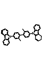 Cc1cc(-n2c3c(c4ccccc42)CCC=C3)ccc1-c1ccc(-n2c3ccc#cc3c3ccccc32)cc1C